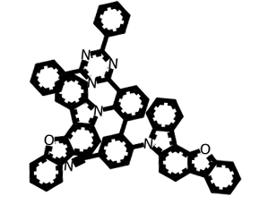 N#Cc1ccc(-n2c3ccccc3c3c4oc5ccccc5c4ccc32)c(-c2cccc(-c3nc(-c4ccccc4)nc(-c4ccccc4)n3)c2-n2c3ccccc3c3c4oc5ccccc5c4ccc32)c1